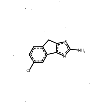 Nc1nc2c(s1)Cc1ccc(Cl)cc1-2